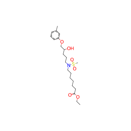 CCOC(=O)CCCCCCN(CCCC(O)COc1cccc(C)c1)S(C)(=O)=O